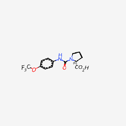 O=C(O)[C@H]1CCCN1C(=O)Nc1ccc(OC(F)(F)F)cc1